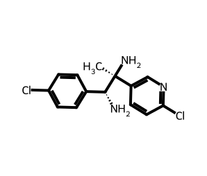 C[C@](N)(c1ccc(Cl)nc1)[C@H](N)c1ccc(Cl)cc1